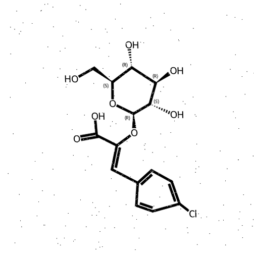 O=C(O)C(=Cc1ccc(Cl)cc1)O[C@H]1O[C@@H](CO)[C@H](O)[C@@H](O)[C@@H]1O